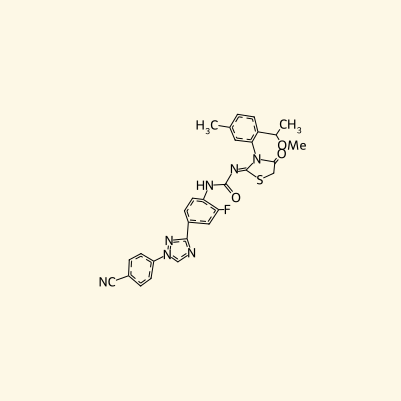 COC(C)c1ccc(C)cc1N1C(=O)CSC1=NC(=O)Nc1ccc(-c2ncn(-c3ccc(C#N)cc3)n2)cc1F